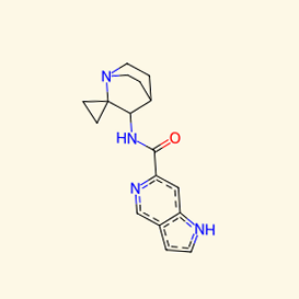 O=C(NC1C2CCN(CC2)C12CC2)c1cc2[nH]ccc2cn1